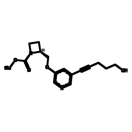 CC(C)(C)OC(=O)N1CC[C@H]1COc1cncc(C#CCCCO)c1